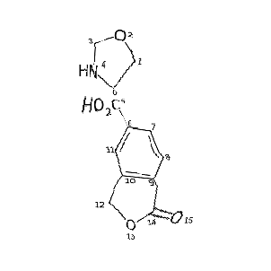 C1COCN1.O=C(O)c1ccc2c(c1)COC2=O